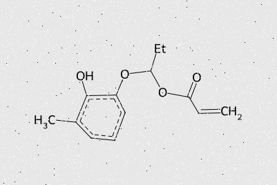 C=CC(=O)OC(CC)Oc1cccc(C)c1O